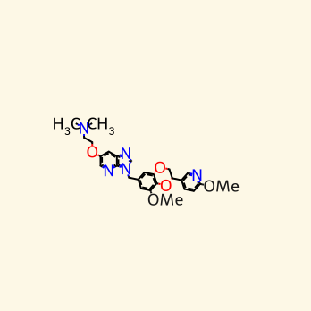 COc1ccc(C2COc3cc(Cn4cnc5cc(OCCN(C)C)cnc54)cc(OC)c3O2)cn1